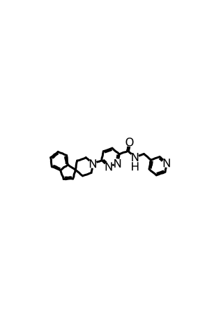 O=C(NCc1cccnc1)c1ccc(N2CCC3(C=Cc4ccccc43)CC2)nn1